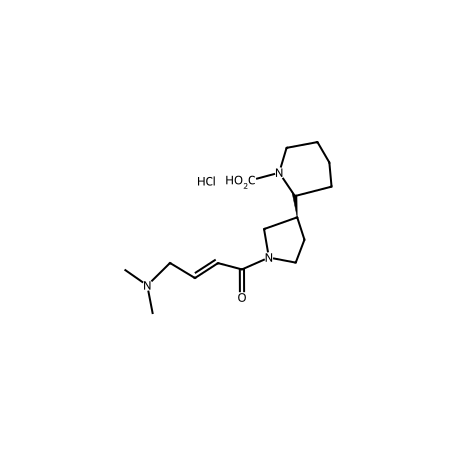 CN(C)C/C=C/C(=O)N1CC[C@H](C2CCCCN2C(=O)O)C1.Cl